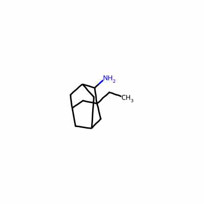 CCC12CC3CC(CC(C3)C1N)C2